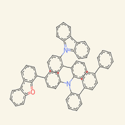 c1ccc(-c2ccc(-c3ccccc3N(c3ccc(-c4cccc5c4oc4ccccc45)cc3)c3ccccc3-c3ccccc3-n3c4ccccc4c4ccccc43)cc2)cc1